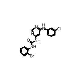 O=C(Nc1cc(Nc2cccc(Cl)c2)ncn1)Nc1ccccc1Br